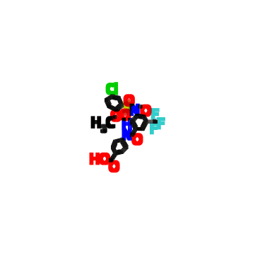 COc1ccc(Cl)cc1S(=O)(=O)N1COc2c1cc(C(=O)Nc1ccc(C(=O)O)cc1)cc2C(F)(F)F